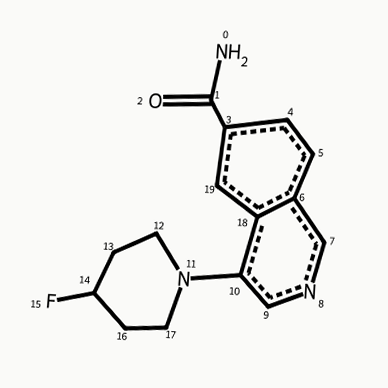 NC(=O)c1ccc2cncc(N3CCC(F)CC3)c2c1